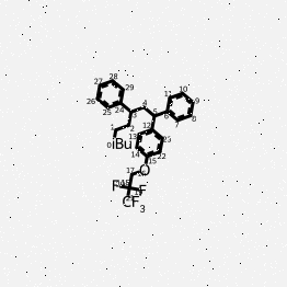 CCC(C)CCC(CC(c1ccccc1)c1ccc(OCC(F)(F)C(F)(F)F)cc1)c1ccccc1